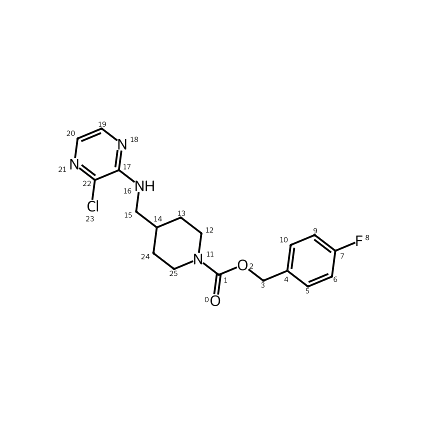 O=C(OCc1ccc(F)cc1)N1CCC(CNc2nccnc2Cl)CC1